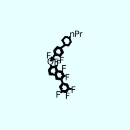 CCCC1CCC(c2ccc(C(F)(F)Oc3ccc4cc(-c5cc(F)c(F)c(F)c5)c(F)c(F)c4c3F)c(F)c2)CC1